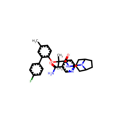 Cc1ccc(OC(C)(C)C(=O)NC2CC3CCC(C2)N3c2ccc(C(N)=O)cn2)c(-c2ccc(F)cc2)c1